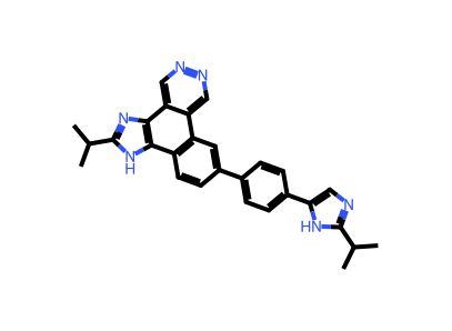 CC(C)c1ncc(-c2ccc(-c3ccc4c(c3)c3cnncc3c3nc(C(C)C)[nH]c43)cc2)[nH]1